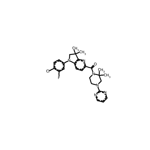 CC1(C)CN(c2ccc(Cl)c(F)c2)c2ccc(C(=O)N3CCN(c4ncccn4)CC3(C)C)nc21